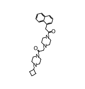 O=C(Cc1cccc2ccccc12)N1CCN(CC(=O)N2CCN(C3CCC3)CC2)CC1